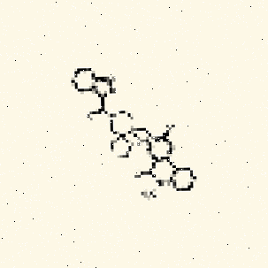 CN(C)C(=O)c1cn(CC2(O)CCN(C(=O)c3n[nH]c4ccccc34)CC23CCCC3)c(=O)cc1-c1ccccc1